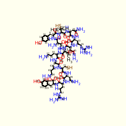 C[C@@H](O)[C@H](N)C(=O)N[C@@H](Cc1ccc(O)cc1)C(=O)N[C@H](C(=O)N[C@@H](CC(N)=O)C(=O)N[C@@H](CCCNC(=N)N)C(=O)N[C@@H](CCN)C(=O)N[C@H](C(=O)N[C@H](CCCN)C(=O)N[C@@H](CCCCN)C(=O)N[C@@H](CS)C(=O)N[C@@H](CCN)C(=O)N[C@@H](CCCNC(=N)N)C(=O)N[C@@H](Cc1ccc(O)cc1)C(=O)O)[C@@H](C)O)C(C)(C)S